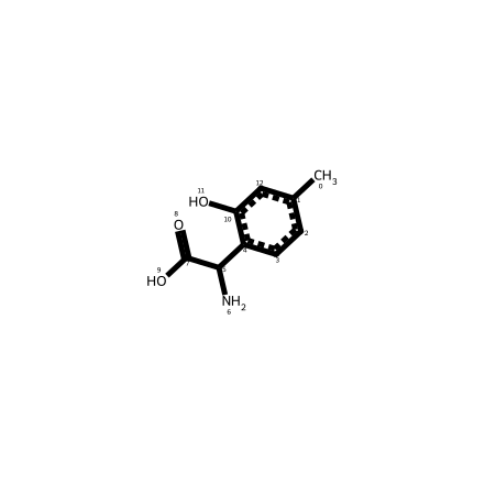 Cc1ccc(C(N)C(=O)O)c(O)c1